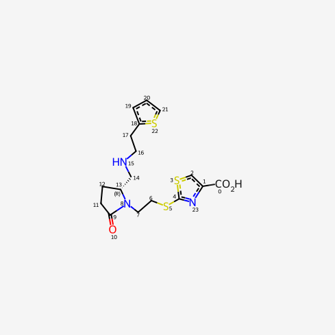 O=C(O)c1csc(SCCN2C(=O)CC[C@@H]2CNCCc2cccs2)n1